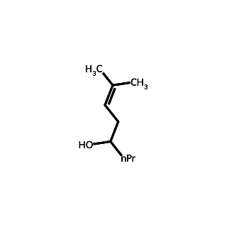 CCCC(O)CC=C(C)C